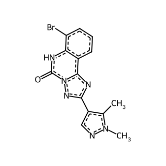 Cc1c(-c2nc3c4cccc(Br)c4[nH]c(=O)n3n2)cnn1C